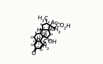 CC(=O)[C@@]1(CC(=O)O)[C@H](C)C[C@H]2[C@@H]3CCC4=CC(=O)C=C[C@]4(C)[C@@]3(F)[C@@H](O)C[C@@]21C